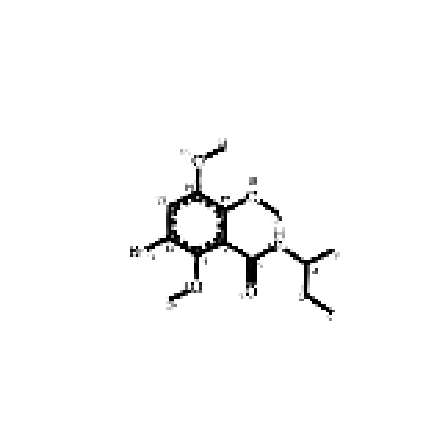 CCC(C)PC(=O)c1c(OC)c(Br)cc(OC)c1OC